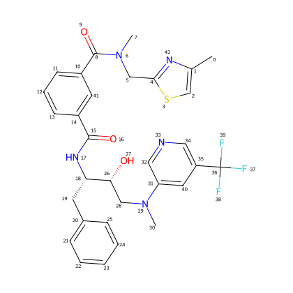 Cc1csc(CN(C)C(=O)c2cccc(C(=O)N[C@@H](Cc3ccccc3)[C@H](O)CN(C)c3cncc(C(F)(F)F)c3)c2)n1